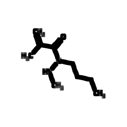 C=C(C)C(=O)N(CCCC)NC